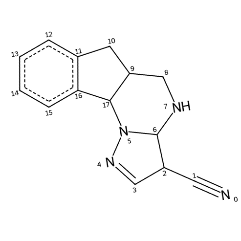 N#CC1C=NN2C1NCC1Cc3ccccc3C12